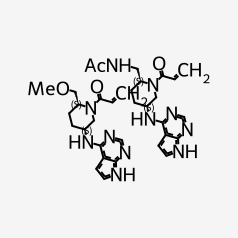 C=CC(=O)N1C[C@@H](Nc2ncnc3[nH]ccc23)CC[C@H]1CNC(C)=O.C=CC(=O)N1C[C@@H](Nc2ncnc3[nH]ccc23)CC[C@H]1COC